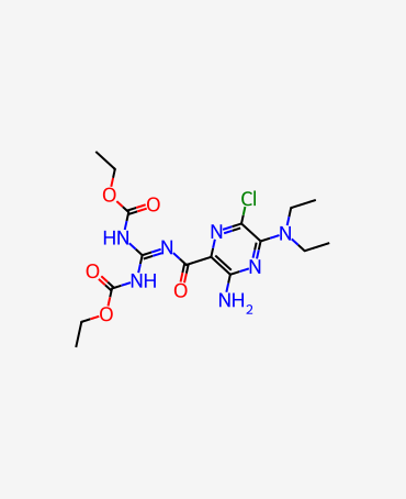 CCOC(=O)NC(=NC(=O)c1nc(Cl)c(N(CC)CC)nc1N)NC(=O)OCC